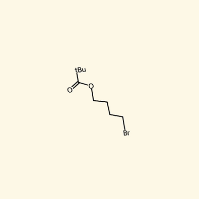 CC(C)(C)C(=O)OCCCCBr